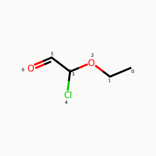 CCO[C](Cl)C=O